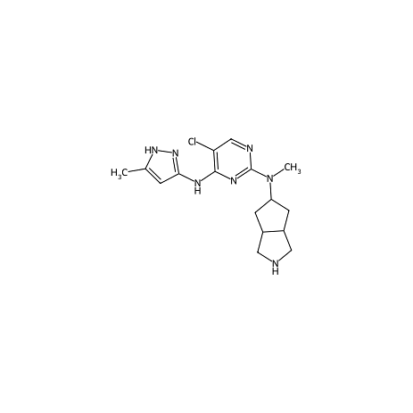 Cc1cc(Nc2nc(N(C)C3CC4CNCC4C3)ncc2Cl)n[nH]1